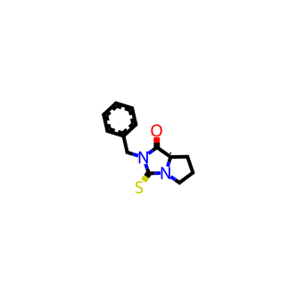 O=C1[C]2CCCN2C(=S)N1Cc1ccccc1